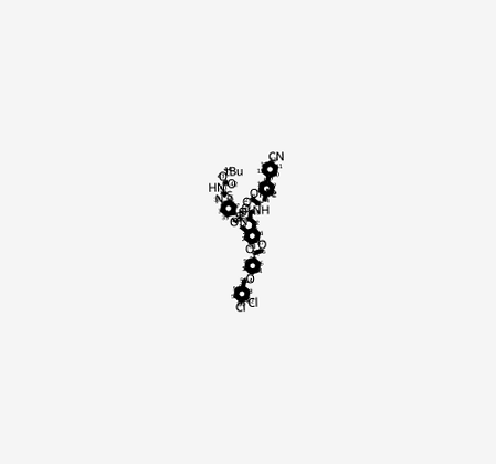 COC(=O)[C@H](Cc1ccc(-c2ccc(C#N)cc2)cc1)NC(=O)C1Cc2cc3c(cc2CN1S(=O)(=O)c1ccc2nc(NC(=O)OC(C)(C)C)sc2c1)O[C@@H](c1ccc(OCc2ccc(Cl)c(Cl)c2)cc1)CO3